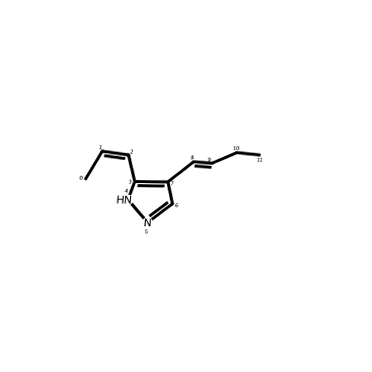 C/C=C\c1[nH]ncc1/C=C/CC